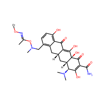 CCO/N=C(\C)ON(C)Cc1ccc(O)c2c1C[C@H]1C[C@H]3[C@H](N(C)C)C(O)=C(C(N)=O)C(=O)[C@@]3(O)C(O)=C1C2=O